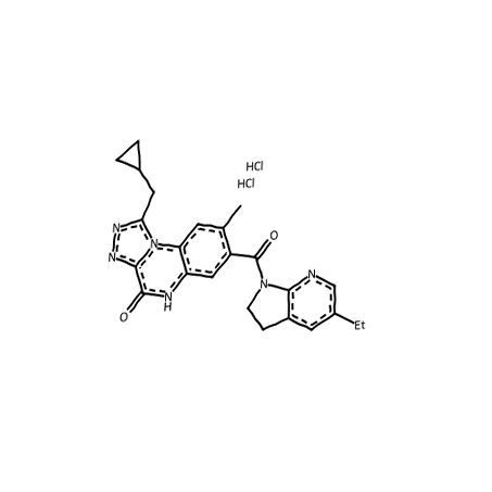 CCc1cnc2c(c1)CCN2C(=O)c1cc2[nH]c(=O)c3nnc(CC4CC4)n3c2cc1C.Cl.Cl